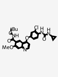 COc1cc2nccc(Oc3ccc(NC(=O)NC4CC4)c(Cl)c3)c2cc1C(=O)NOC(C)(C)C